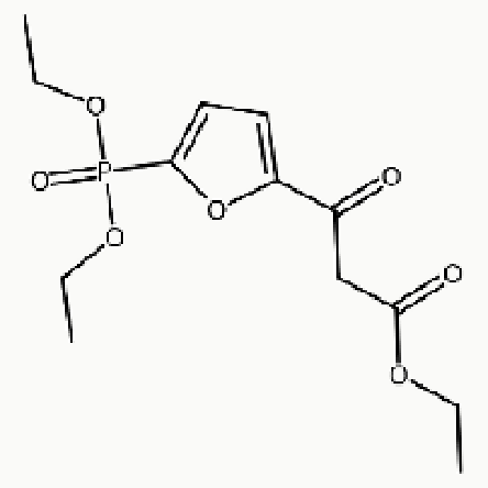 CCOC(=O)CC(=O)c1ccc(P(=O)(OCC)OCC)o1